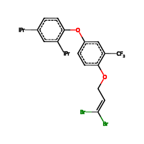 CC(C)c1ccc(Oc2ccc(OCC=C(Br)Br)c(C(F)(F)F)c2)c(C(C)C)c1